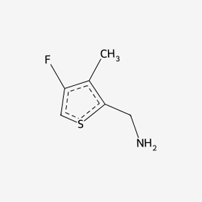 Cc1c(F)csc1CN